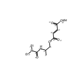 CCN(CC)C(=O)NC(C)COC(=O)/C=C/C(=O)OC